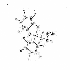 CNC(C)(C)C(C)(C)C(C)(Oc1c(C)c(C)c(C)c(C)c1C)c1c(C)c(C)c(C)c(C)c1C